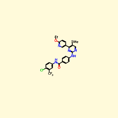 CCOc1ccc(-c2nc(Nc3ccc(C(=O)Nc4ccc(Cl)c(C(F)(F)F)c4)cc3)ncc2SC)cn1